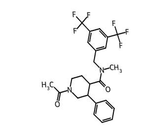 CC(=O)N1CCC(C(=O)N(C)Cc2cc(C(F)(F)F)cc(C(F)(F)F)c2)C(c2ccccc2)C1